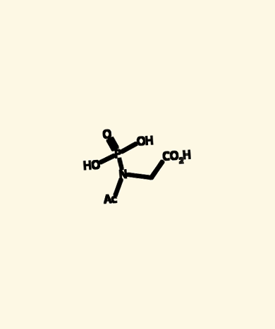 CC(=O)N(CC(=O)O)P(=O)(O)O